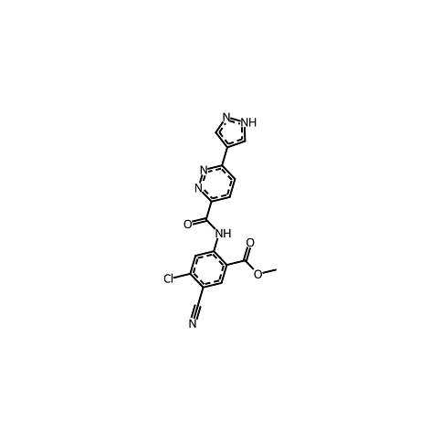 COC(=O)c1cc(C#N)c(Cl)cc1NC(=O)c1ccc(-c2cn[nH]c2)nn1